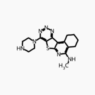 CNc1nc2sc3c(N4CCNCC4)nnnc3c2c2c1CCCC2